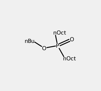 CCCCCCCCP(=O)(CCCCCCCC)OCCCC